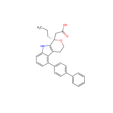 CCC[C@]1(CC(=O)O)OCCc2c1[nH]c1cccc(-c3ccc(-c4ccccc4)cc3)c21